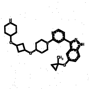 CC1(Oc2ccc3[nH]nc(-c4ccnc(N5CCC(OC6CC(OC7CCNCC7)C6)CC5)c4)c3c2)CC1